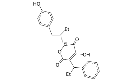 CCC(C1=C(O)C(=O)[C@@H](C(CC)Cc2ccc(O)cc2)OC1=O)c1ccccc1